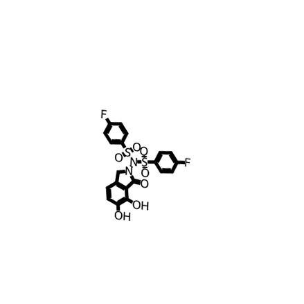 O=C1c2c(ccc(O)c2O)CN1N(S(=O)(=O)c1ccc(F)cc1)S(=O)(=O)c1ccc(F)cc1